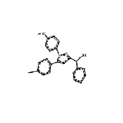 COc1ccc(-n2nc(C(O)c3ccccc3)cc2-c2ccc(C)cc2)cc1